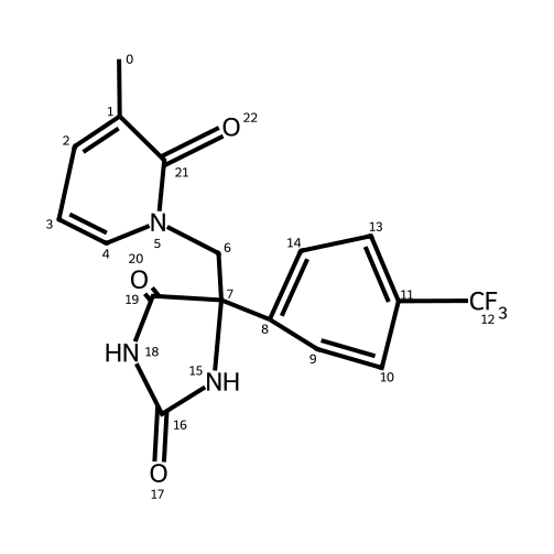 Cc1cccn(CC2(c3ccc(C(F)(F)F)cc3)NC(=O)NC2=O)c1=O